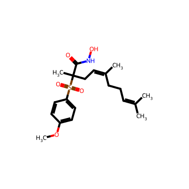 COc1ccc(S(=O)(=O)C(C)(CC=C(C)CCC=C(C)C)C(=O)NO)cc1